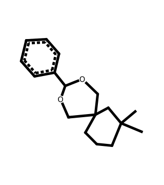 CC1(C)CCCC2(COC(c3ccccc3)OC2)C1